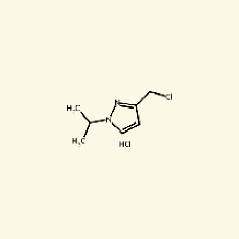 CC(C)n1ccc(CCl)n1.Cl